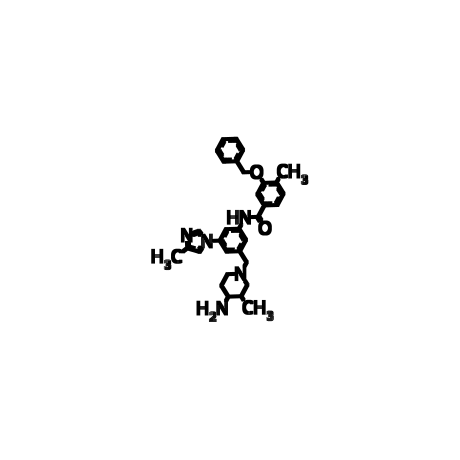 Cc1cn(-c2cc(CN3CCC(N)C(C)C3)cc(NC(=O)c3ccc(C)c(OCc4ccccc4)c3)c2)cn1